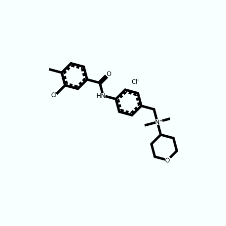 Cc1ccc(C(=O)Nc2ccc(C[N+](C)(C)C3CCOCC3)cc2)cc1Cl.[Cl-]